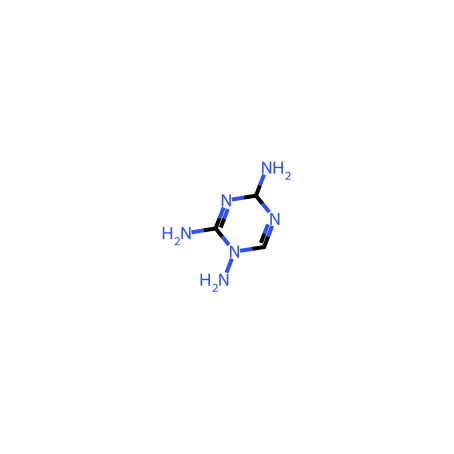 NC1=NC(N)N=CN1N